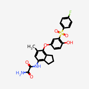 Cc1cc(NC(=O)C(N)=O)c2c(c1Oc1ccc(O)c(S(=O)(=O)c3ccc(F)cc3)c1)CCC2